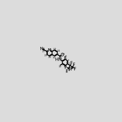 Cc1cc(C(F)(C(F)(F)F)C(F)(F)F)cc(C)c1NC(=O)c1ccc2nc(C#N)ccc2c1